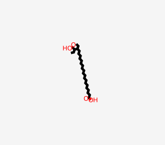 CCC(CCCCCCCCCCCCCCCCCCCC(=O)O)C(CC)C(=O)O